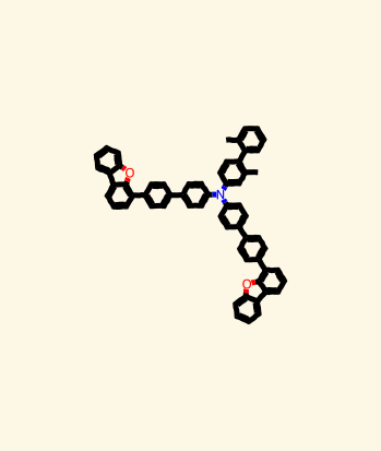 Cc1ccccc1-c1ccc(N(c2ccc(-c3ccc(-c4cccc5c4oc4ccccc45)cc3)cc2)c2ccc(-c3ccc(-c4cccc5c4oc4ccccc45)cc3)cc2)cc1C